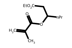 C=C(C)C(=O)OC(CCC)CC(=O)OCC